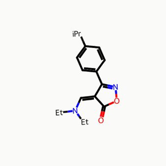 CCN(/C=C1\C(=O)ON=C1c1ccc(C(C)C)cc1)CC